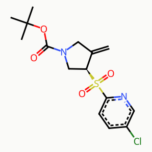 C=C1CN(C(=O)OC(C)(C)C)C[C@@H]1S(=O)(=O)c1ccc(Cl)cn1